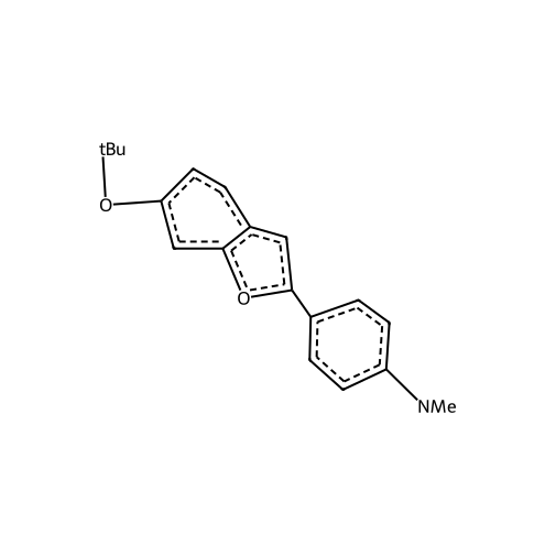 CNc1ccc(-c2cc3ccc(OC(C)(C)C)cc3o2)cc1